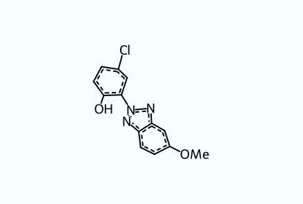 COc1ccc2nn(-c3cc(Cl)ccc3O)nc2c1